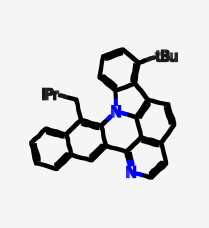 CC(C)Cc1c2ccccc2cc2c3nccc4ccc5c6c(C(C)(C)C)cccc6n(c12)c5c43